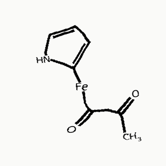 CC(=O)[C](=O)[Fe][c]1ccc[nH]1